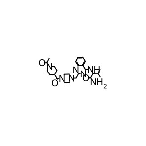 CC(=O)N1CCC(C(=O)N2CCN(Cc3nc(N[C@H](C(N)=O)C(C)C)c4ccccc4n3)CC2)CC1